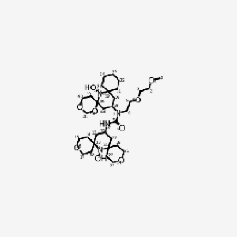 COCCOCCN(C(=O)NC1CC2(CCOCC2)N(O)C2(CCOCC2)C1)C1CC2(CCCCC2)N(O)C2(CCOCO2)C1